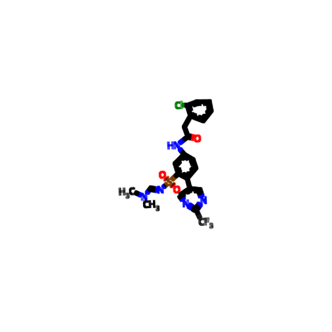 CN(C)C=NS(=O)(=O)c1cc(NC(=O)Cc2ccccc2Cl)ccc1-c1cnc(C(F)(F)F)nc1